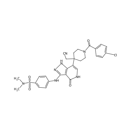 CN(C)S(=O)(=O)c1ccc(Nc2n[nH]c3c(C4(CC#N)CCN(C(=O)c5ccc(Cl)cc5)CC4)c[nH]c(=O)c23)cc1